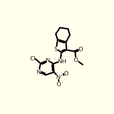 COC(=O)c1c(Nc2nc(Cl)ncc2[N+](=O)[O-])sc2c1CCCC2